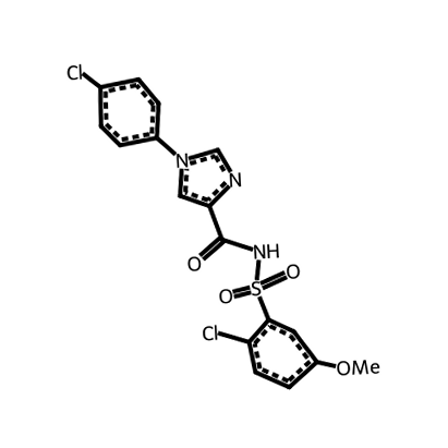 COc1ccc(Cl)c(S(=O)(=O)NC(=O)c2cn(-c3ccc(Cl)cc3)cn2)c1